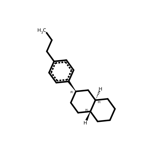 CCCc1ccc([C@@H]2CC[C@H]3CCCC[C@@H]3C2)cc1